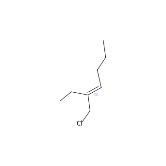 CCC/C=C(\CC)CCl